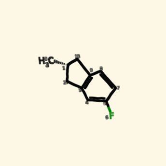 C[C@H]1[CH]c2cc(F)ccc2C1